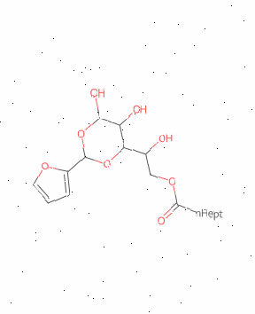 CCCCCCCC(=O)OCC(O)C1OC(c2ccco2)OC(O)C1O